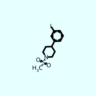 CS(=O)(=O)N1CCC(c2cccc(I)c2)CC1